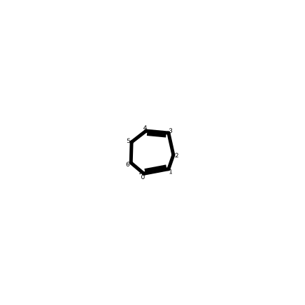 [C]1=CCC=CCC1